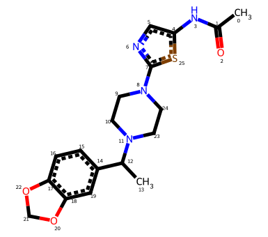 CC(=O)Nc1cnc(N2CCN(C(C)c3ccc4c(c3)OCO4)CC2)s1